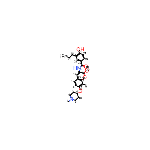 Cc1c(OC2CCN(C)CC2)ccc2cc(NC(=O)c3ccc(O)c(CCC(C)C)c3)c(=O)oc12